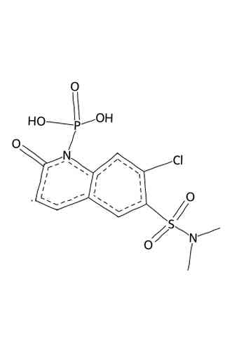 CN(C)S(=O)(=O)c1cc2c[c]c(=O)n(P(=O)(O)O)c2cc1Cl